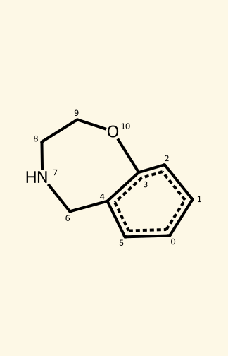 c1ccc2c(c1)CNCCO2